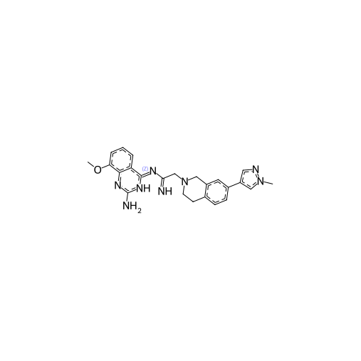 COc1cccc2/c(=N/C(=N)CN3CCc4ccc(-c5cnn(C)c5)cc4C3)[nH]c(N)nc12